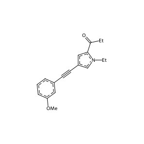 CCC(=O)c1cc(C#Cc2cccc(OC)c2)cn1CC